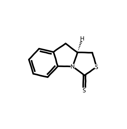 S=C1SC[C@@H]2Cc3ccccc3N12